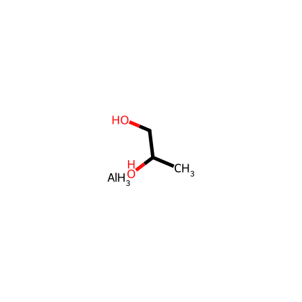 CC(O)CO.[AlH3]